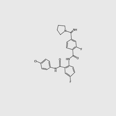 N=C(c1ccc(C(=O)Nc2ccc(F)cc2C(=O)Nc2ccc(Cl)cc2)c(F)c1)N1CCCC1